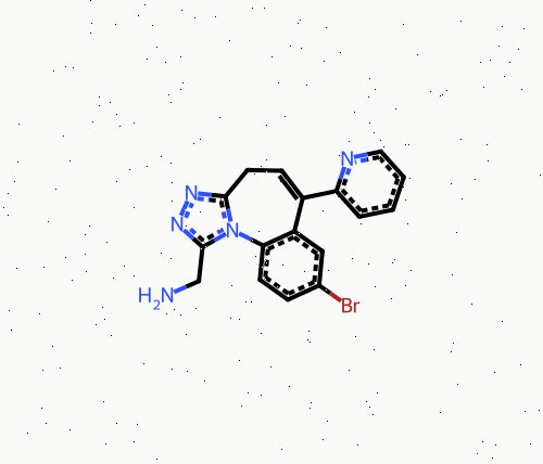 NCc1nnc2n1-c1ccc(Br)cc1C(c1ccccn1)=CC2